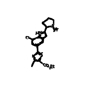 CCOC(=O)c1sc(-c2cc(Cl)c3[nH]c(C4CCCN4C(C)C)cc3c2)nc1C